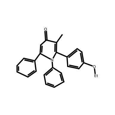 CCOc1ccc(-c2c(C)c(=O)cc(-c3ccccc3)n2-c2ccccc2)cc1